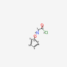 O=C(Cl)C=NOc1ccccc1